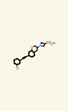 O=C(O)C1CN(C2COc3cc(C#Cc4cccc(Cl)c4)ccc3C2)C1